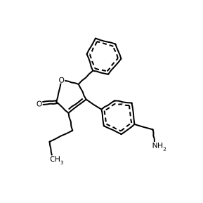 CCCC1=C(c2ccc(CN)cc2)C(c2ccccc2)OC1=O